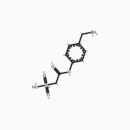 BCc1ccc(OC(=O)CS(=O)(=O)O)cc1